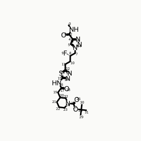 CNC(=O)c1cn(C[C@@H](F)CCc2nnc(NC(=O)CC3CCCN(C(=O)OC(C)(C)C)C3)s2)nn1